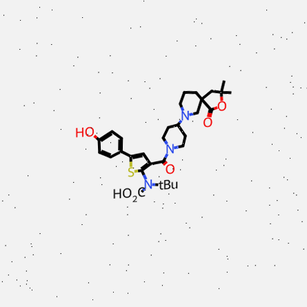 CC1(C)CC2(CCCN(C3CCN(C(=O)c4cc(-c5ccc(O)cc5)sc4N(C(=O)O)C(C)(C)C)CC3)C2)C(=O)O1